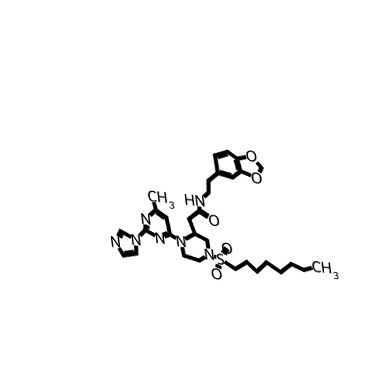 CCCCCCCCS(=O)(=O)N1CCN(c2cc(C)nc(-n3ccnc3)n2)C(CC(=O)NCCc2ccc3c(c2)OCO3)C1